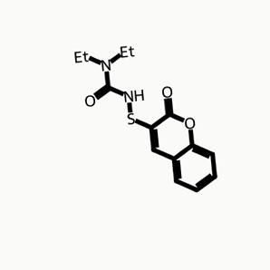 CCN(CC)C(=O)NSc1cc2ccccc2oc1=O